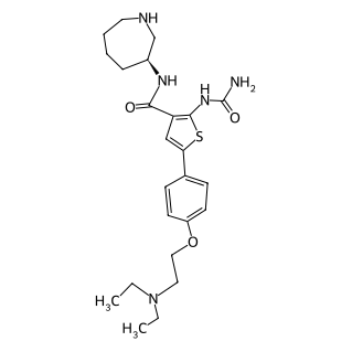 CCN(CC)CCOc1ccc(-c2cc(C(=O)N[C@H]3CCCCNC3)c(NC(N)=O)s2)cc1